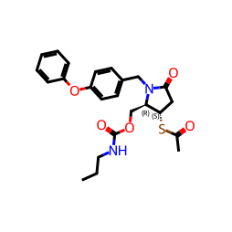 CCCNC(=O)OC[C@@H]1[C@@H](SC(C)=O)CC(=O)N1Cc1ccc(Oc2ccccc2)cc1